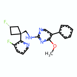 COc1nc(NC[C@]2(c3ncccc3F)C[C@@H](F)C2)ncc1-c1ccccc1